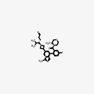 Cc1ncc2c(-c3ccc(F)cc3C(=O)N3CCOC[C@H]3C)cc(C3CN([C@@H](CCC=O)C(C)C)C3)cn12